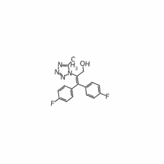 Cc1nnnn1C(CO)=C(c1ccc(F)cc1)c1ccc(F)cc1